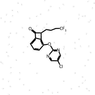 O=C1c2cccc(Oc3ncc(Cl)cn3)c2C1CCCC(F)(F)F